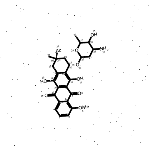 COc1cccc2c1C(=O)c1c(O)c3c(c(O)c1C2=O)C[C@@](C)(C(C)=O)C[C@@H]3OC1CC(N)C(O)C(C)O1